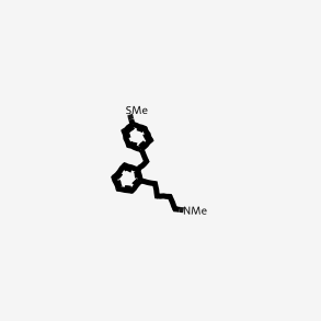 CNCCCCc1ccccc1Cc1ccc(SC)cc1